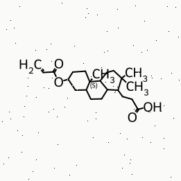 C=CC(=O)OC1CC[C@@]2(C)C(CCC3C(CCC(=O)O)C(C)(C)CCC32)C1